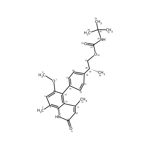 COc1cc(C)c2[nH]c(=O)cc(C)c2c1-c1ccc([C@@H](C)COC(=O)NC(C)(C)C)cc1